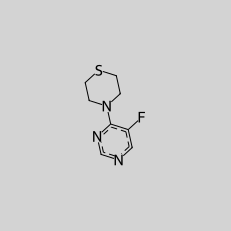 Fc1cncnc1N1CCSCC1